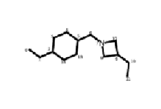 CCC1CCC(CN2CC(CC)C2)CC1